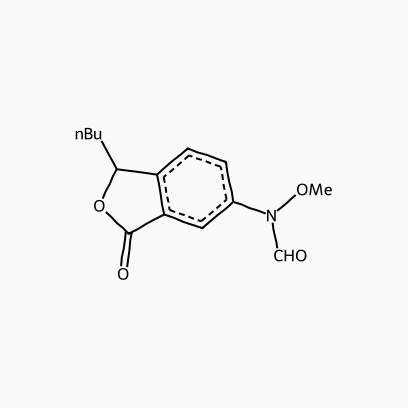 CCCCC1OC(=O)c2cc(N(C=O)OC)ccc21